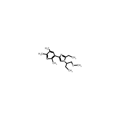 CCc1nc(-c2cc(C)c(C)nc2C)cn1C(CC)COC